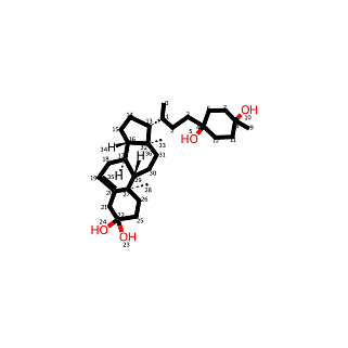 CC(CCC1(O)CCC(C)(O)CC1)[C@H]1CC[C@H]2[C@@H]3CC=C4CC(O)(O)CC[C@]4(C)[C@H]3CC[C@]12C